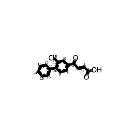 O=C(O)/C=C/C(=O)c1ccc(-c2ccccc2)c(Cl)c1